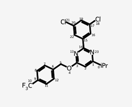 CC(C)c1cc(OCc2ccc(C(F)(F)F)cc2)nc(-c2cc(Cl)cc(Cl)c2)n1